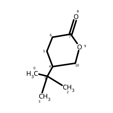 CC(C)(C)C1CCC(=O)OC1